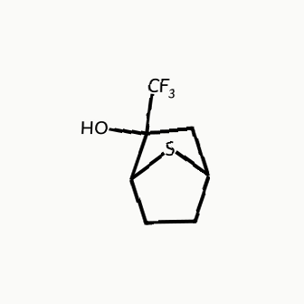 OC1(C(F)(F)F)CC2CCC1S2